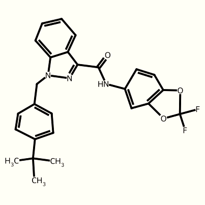 CC(C)(C)c1ccc(Cn2nc(C(=O)Nc3ccc4c(c3)OC(F)(F)O4)c3ccccc32)cc1